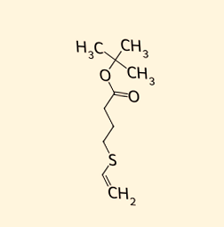 C=CSCCCC(=O)OC(C)(C)C